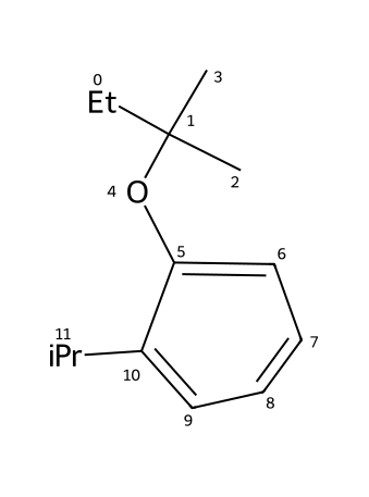 CCC(C)(C)Oc1ccccc1C(C)C